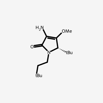 COC1=C(N)C(=O)N(CCC(C)(C)C)[C@H]1C(C)(C)C